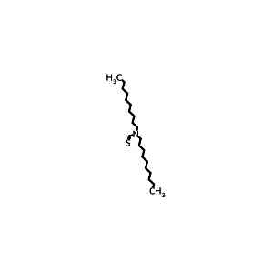 CCCCCCCCCCN([C]=S)CCCCCCCCCC